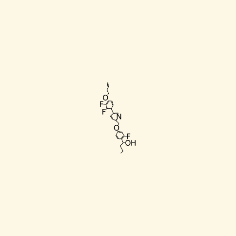 C=CCCOc1ccc(-c2ccc(COc3ccc(C(O)CCC)c(F)c3)nc2)c(F)c1F